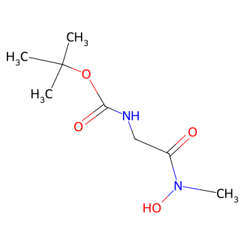 CN(O)C(=O)CNC(=O)OC(C)(C)C